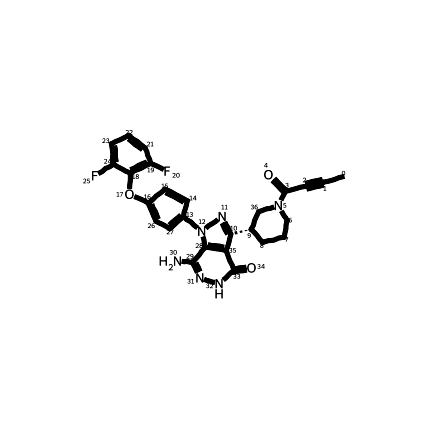 CC#CC(=O)N1CCC[C@H](c2nn(-c3ccc(Oc4c(F)cccc4F)cc3)c3c(N)n[nH]c(=O)c23)C1